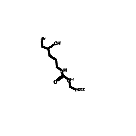 CCCCCCCCCNC(=O)NCCCC(O)CC(C)C